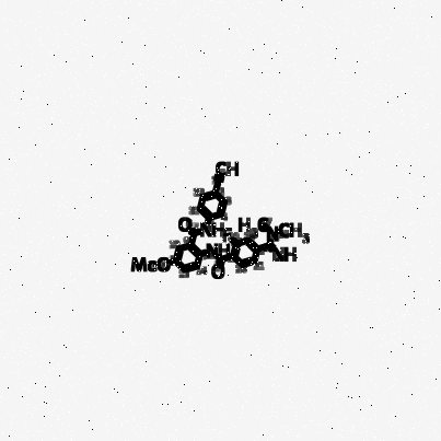 C#Cc1ccc(NC(=O)c2cc(OC)ccc2NC(=O)c2ccc(C(=N)N(C)C)cc2F)cc1